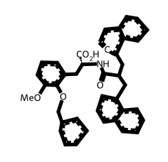 COc1cccc(C[C@@H](NC(=O)C(Cc2cccc3ccccc23)Cc2cccc3ccccc23)C(=O)O)c1OCc1ccccc1